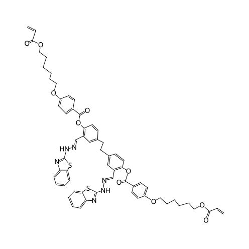 C=CC(=O)OCCCCCCOc1ccc(C(=O)Oc2ccc(CCc3ccc(OC(=O)c4ccc(OCCCCCCOC(=O)C=C)cc4)c(/C=N/Nc4nc5ccccc5s4)c3)cc2/C=N/Nc2nc3ccccc3s2)cc1